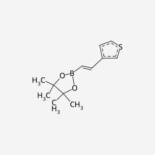 CC1(C)OB(C=Cc2ccsc2)OC1(C)C